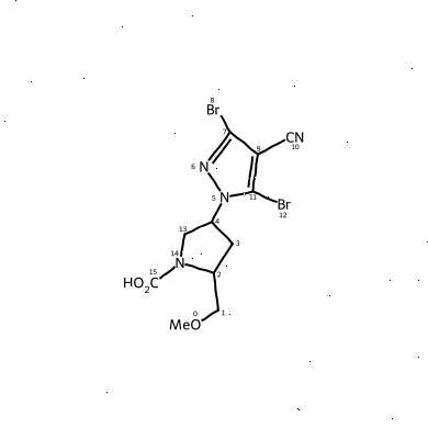 COCC1CC(n2nc(Br)c(C#N)c2Br)CN1C(=O)O